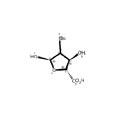 CC(C)(C)C1[C@H](O)O[C@@H](C(=O)O)[C@@H]1O